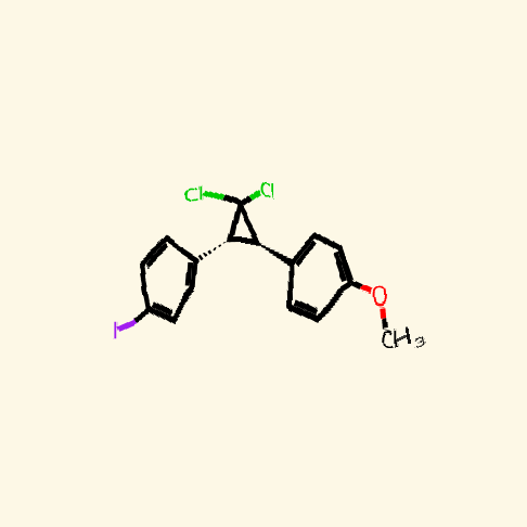 COc1ccc([C@H]2[C@H](c3ccc(I)cc3)C2(Cl)Cl)cc1